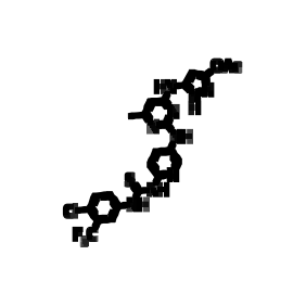 CC(=O)Oc1cc(Nc2cc(C)nc(Nc3ccc(NC(=S)Nc4ccc(Cl)c(C(F)(F)F)c4)nc3)n2)[nH]n1